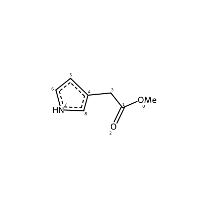 COC(=O)Cc1cc[nH]c1